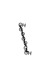 CC(C)(O)COCCOCCOCCOCCOCCO